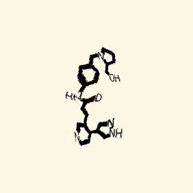 O=C(/C=C/c1cnccc1-c1cn[nH]c1)Nc1ccc(CN2CCCC2CO)cc1